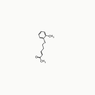 CC(=O)C=CCCSc1ccccc1C